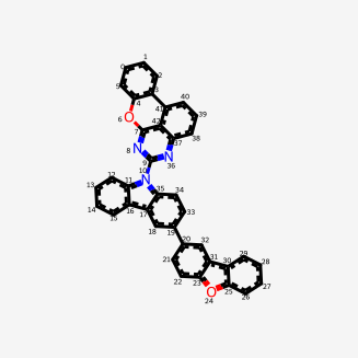 c1ccc2c(c1)Oc1nc(-n3c4ccccc4c4cc(-c5ccc6oc7ccccc7c6c5)ccc43)nc3cccc-2c13